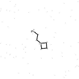 CC(C)[CH]CN1CCC1